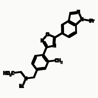 CCN(CC(=O)O)Cc1ccc(-c2noc(-c3ccc4c(cnn4C(C)C)c3)n2)c(C)c1